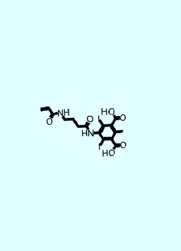 C=CC(=O)NCCCC(=O)Nc1c(I)c(C(=O)O)c(C)c(C(=O)O)c1I